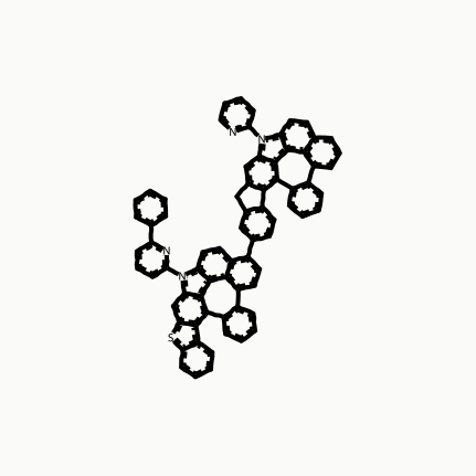 c1ccc(-c2cccc(-n3c4cc5sc6ccccc6c5c5c4c4c6c(ccc(-c7ccc8c(c7)Cc7cc9c%10c(c7-8)-c7ccccc7-c7cccc8ccc(c%10c78)n9-c7ccccn7)c6ccc43)-c3ccccc3-5)n2)cc1